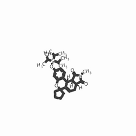 CC(C)[Si](Oc1ccc2c(c1)OC1(CCCC1)C1=CC[C@H]3C(=O)N(C)C(=O)[C@H]3[C@H]12)(C(C)C)C(C)C